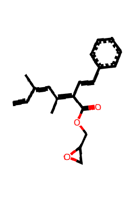 C=CC(C)=CC(C)=C(C=Cc1ccccc1)C(=O)OCC1CO1